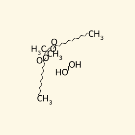 CCCCCCCCCCCC(=O)OCC(C)(C)COC(=O)CCCCCCCCCCC.OCCO